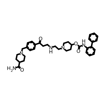 NC(=O)C1CCN(Cc2ccc(C(=O)CCNCCN3CCC(OC(=O)Nc4ccccc4-c4ccccc4)CC3)cc2)CC1